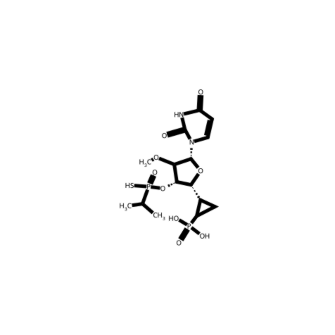 COC1[C@@H](OP(=O)(S)C(C)C)[C@@H](C2CC2P(=O)(O)O)O[C@H]1n1ccc(=O)[nH]c1=O